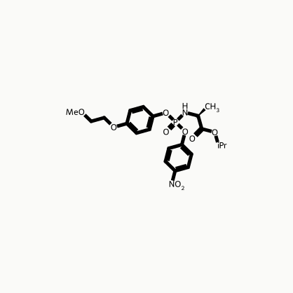 COCCOc1ccc(OP(=O)(N[C@@H](C)C(=O)OC(C)C)Oc2ccc([N+](=O)[O-])cc2)cc1